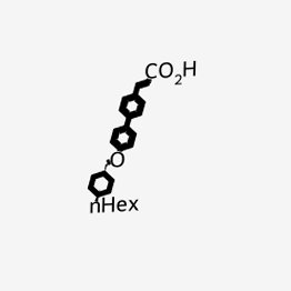 CCCCCC[C@H]1CC[C@H](COc2ccc(-c3ccc(/C=C/C(=O)O)cc3)cc2)CC1